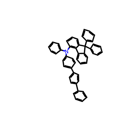 c1ccc(-c2ccc(-c3ccc(N(c4ccccc4)c4cccc5c4-c4ccccc4C5(c4ccccc4)c4ccccc4)cc3)cc2)cc1